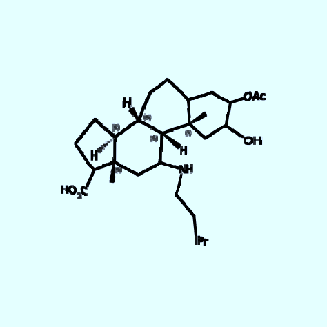 CC(=O)OC1CC2CC[C@@H]3[C@@H](C(NCCC(C)C)C[C@]4(C)C(C(=O)O)CC[C@@H]34)[C@@]2(C)CC1O